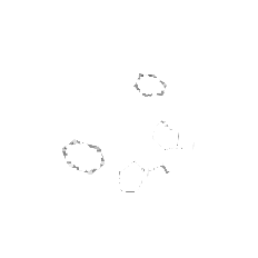 Cl.O=C([C@@H]1C[C@H](c2ccccc2)CN1)N1CC[C@H](c2ccccc2)C1